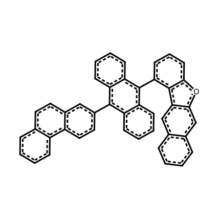 c1ccc2cc3c(cc2c1)oc1cccc(-c2c4ccccc4c(-c4ccc5c(ccc6ccccc65)c4)c4ccccc24)c13